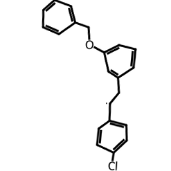 Clc1ccc([CH]Cc2cccc(OCc3ccccc3)c2)cc1